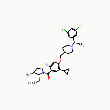 C[C@H]1CCN(C(=O)c2cc(C3CC3)c(OCC3CCN([C@@H](c4cc(Cl)cc(Cl)c4)C(F)(F)F)CC3)cc2F)[C@@H]1CC(=O)O